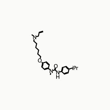 C=CCN(C)CCCCCCOc1ccc(N(C)C(=O)Nc2ccc(C(C)C)cc2)cc1